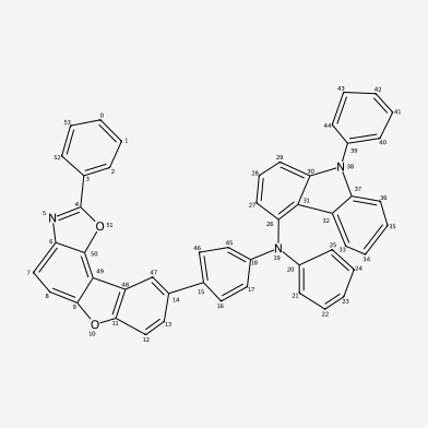 c1ccc(-c2nc3ccc4oc5ccc(-c6ccc(N(c7ccccc7)c7cccc8c7c7ccccc7n8-c7ccccc7)cc6)cc5c4c3o2)cc1